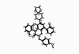 COc1ccc(CN2Cc3c(-c4ccccc4Cl)cc(C4CCC5(CC4)OCCO5)cc3N(c3c(Cl)cccc3Cl)C2=O)cc1